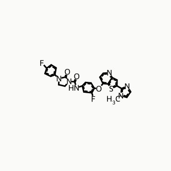 Cn1ccnc1-c1cc2nccc(Oc3ccc(NC(=O)N4CCN(c5ccc(F)cc5)C4=O)cc3F)c2s1